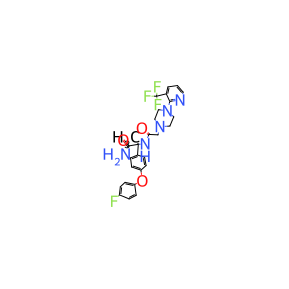 CC(NC(=O)CN1CCN(c2ncccc2C(F)(F)F)CC1)(C(N)=O)c1ccc(Oc2ccc(F)cc2)cc1